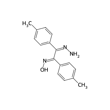 Cc1ccc(C(=NN)C(=NO)c2ccc(C)cc2)cc1